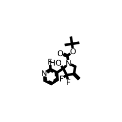 C=C1CN(C(=O)OC(C)(C)C)C(O)(c2cccnc2F)C1(F)F